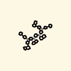 c1ccc(-c2ccc(-n3c4ccc(-c5cccc6ccccc56)cc4c4cc(N(c5cccc(N(c6ccc7c(c6)c6cc(-c8cccc9ccccc89)ccc6n7-c6ccc(-c7ccccc7)cc6)c6cccc7ccccc67)c5)c5cccc6ccccc56)ccc43)cc2)cc1